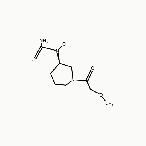 COCC(=O)N1CCC[C@@H](N(C)C(N)=O)C1